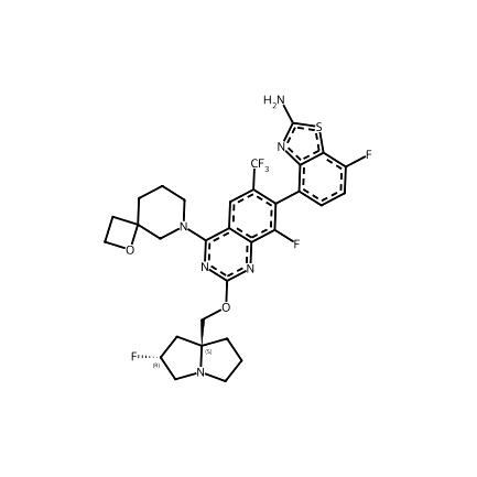 Nc1nc2c(-c3c(C(F)(F)F)cc4c(N5CCCC6(CCO6)C5)nc(OC[C@@]56CCCN5C[C@H](F)C6)nc4c3F)ccc(F)c2s1